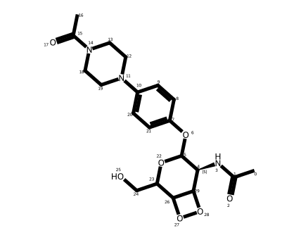 CC(=O)N[C@@H]1C(Oc2ccc(N3CCN(C(C)=O)CC3)cc2)OC(CO)C2OOC21